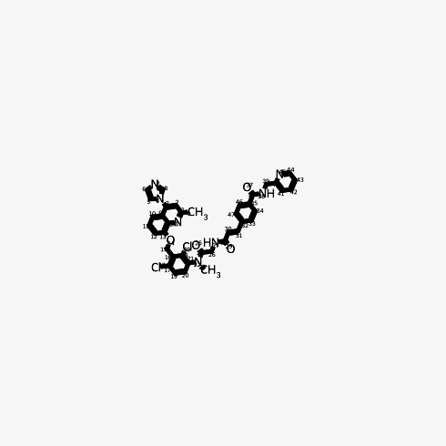 Cc1cc(-n2ccnc2)c2cccc(OCc3c(Cl)ccc(N(C)C(=O)CNC(=O)C=Cc4ccc(C(=O)NCc5ccccn5)cc4)c3Cl)c2n1